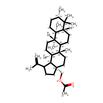 C=C(C)C1CC[C@]2(COC(C)=O)CC[C@]3(C)[C@H](CC[C@@H]4[C@@]5(C)CC[C@H](C)C(C)(C)[C@@H]5CC[C@]43C)C12